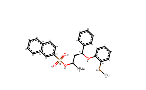 CNC(C[C@H](Oc1ccccc1SC(C)(C)C)c1ccccc1)OS(=O)(=O)c1ccc2ccccc2c1